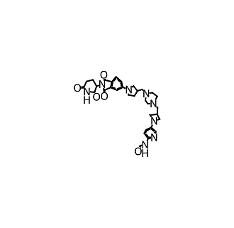 O=CNc1ccc(N2CC(CN3CCN(CC4CCN(c5ccc6c(c5)C(=O)N(C5CCC(=O)NC5=O)C6=O)C4)CC3)C2)cn1